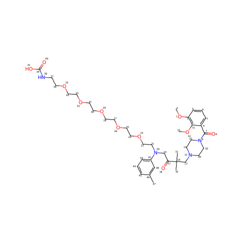 COc1cccc(C(=O)N2CCN(CC(C)(C)C(=O)CN(CCOCCOCCOCCOCCOCCNC(=O)O)c3cccc(C)c3)CC2)c1OC